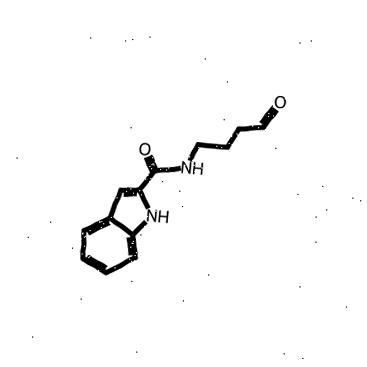 O=CCCCNC(=O)c1cc2ccccc2[nH]1